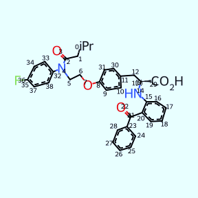 CC(C)CC(=O)N(CCOc1ccc(C[C@H](Nc2ccccc2C(=O)c2ccccc2)C(=O)O)cc1)c1ccc(F)cc1